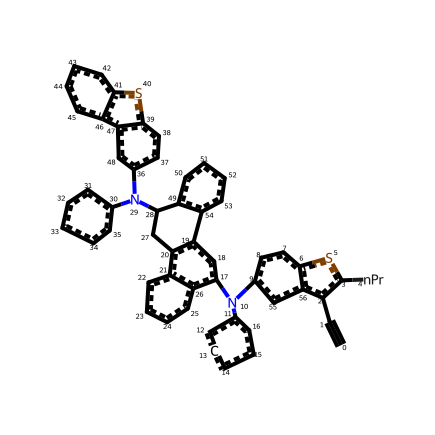 C#Cc1c(CCC)sc2ccc(N(c3ccccc3)c3cc4c(c5ccccc35)CC(N(c3ccccc3)c3ccc5sc6ccccc6c5c3)c3ccccc3-4)cc12